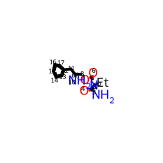 CCN(C(N)=O)C(=O)OC[C@H](N)Cc1ccccc1